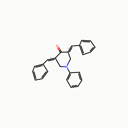 O=C1/C(=C/c2ccccc2)CN(c2ccccc2)C/C1=C\c1ccccc1